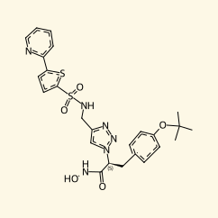 CC(C)(C)Oc1ccc(C[C@@H](C(=O)NO)n2cc(CNS(=O)(=O)c3ccc(-c4ccccn4)s3)nn2)cc1